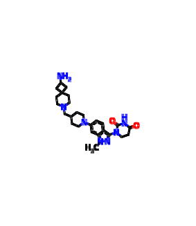 Cn1nc(N2CCC(=O)NC2=O)c2ccc(N3CCC(CN4CCC5(CC4)CC(N)C5)CC3)cc21